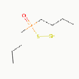 CCCCP(=O)(CCCC)SS